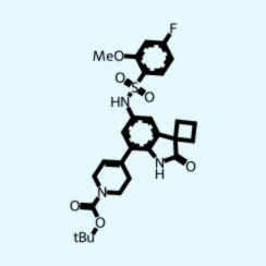 COc1cc(F)ccc1S(=O)(=O)Nc1cc(C2=CCN(C(=O)OC(C)(C)C)CC2)c2c(c1)C1(CCC1)C(=O)N2